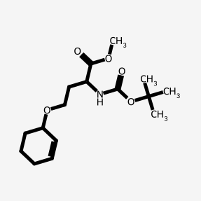 COC(=O)C(CCOC1C=CCCC1)NC(=O)OC(C)(C)C